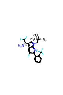 CC(C)(C)Cn1cc([C@H](N)C(F)F)c2cc(F)c(-c3ccccc3C(F)(F)F)nc21